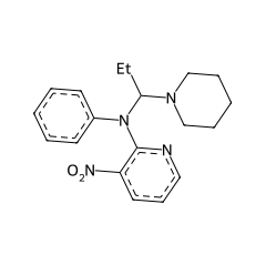 CCC(N1CCCCC1)N(c1ccccc1)c1ncccc1[N+](=O)[O-]